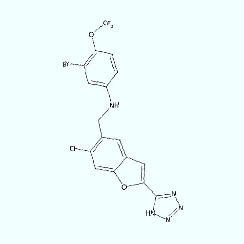 FC(F)(F)Oc1ccc(NCc2cc3cc(-c4nnn[nH]4)oc3cc2Cl)cc1Br